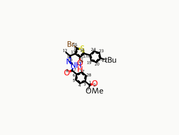 COC(=O)c1ccc(C(=O)NN=C(C)c2c(Br)sc(-c3ccc(C(C)(C)C)cc3)c2O)cc1